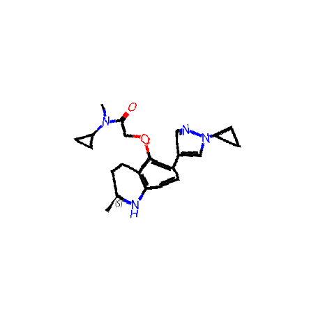 C[C@H]1CCc2c(ccc(-c3cnn(C4CC4)c3)c2OCC(=O)N(C)C2CC2)N1